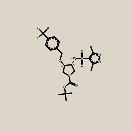 Cc1noc(C)c1S(=O)(=O)N[C@@H]1CN(C(=O)OC(C)(C)C)C[C@H]1OCc1ccc(C(F)(F)F)cc1